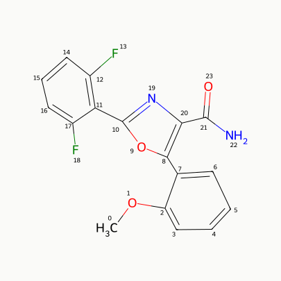 COc1ccccc1-c1oc(-c2c(F)cccc2F)nc1C(N)=O